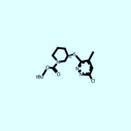 Cc1cc(Cl)nnc1S[C@@H]1CCCN(C(=O)OC(C)(C)C)C1